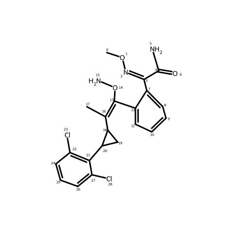 CON=C(C(N)=O)c1ccccc1C(ON)=C(C)C1CC1c1c(Cl)cccc1Cl